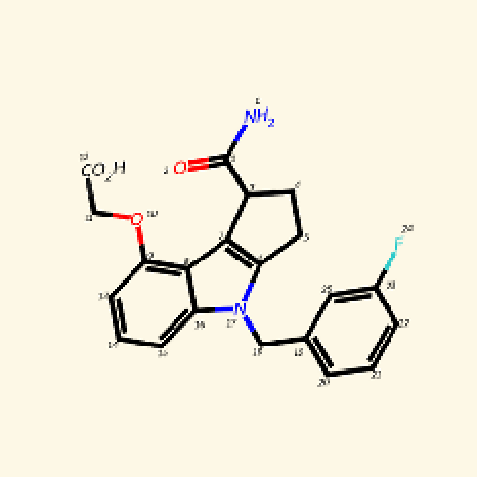 NC(=O)C1CCc2c1c1c(OCC(=O)O)cccc1n2Cc1cccc(F)c1